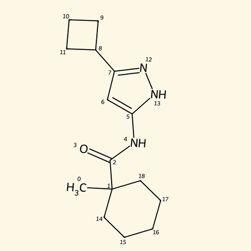 CC1(C(=O)Nc2cc(C3CCC3)n[nH]2)CCCCC1